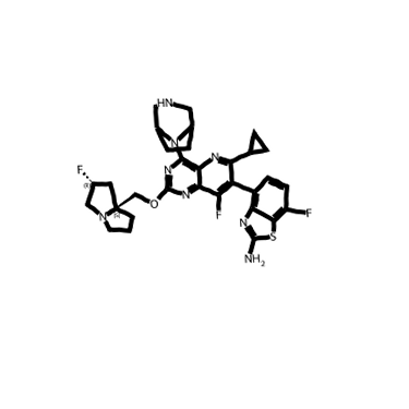 Nc1nc2c(-c3c(C4CC4)nc4c(N5C6CCC5CNC6)nc(OC[C@@]56CCCN5C[C@H](F)C6)nc4c3F)ccc(F)c2s1